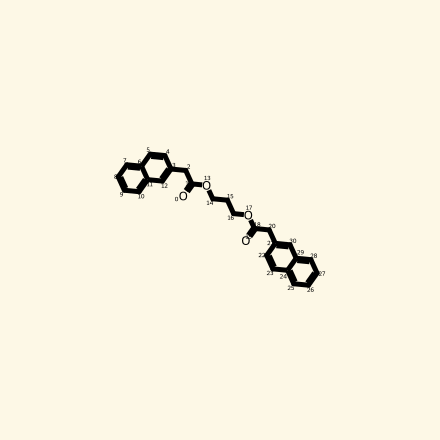 O=C(Cc1ccc2ccccc2c1)OCCCOC(=O)Cc1ccc2ccccc2c1